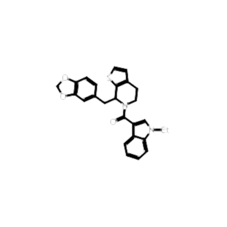 CCn1cc(C(=O)N2CCc3ccsc3C2Cc2ccc3c(c2)OCO3)c2ccccc21